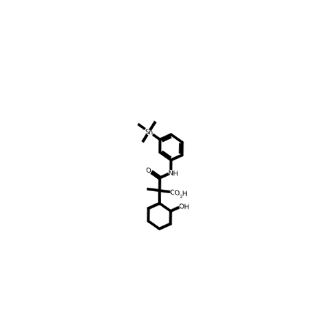 CC(C(=O)O)(C(=O)Nc1ccc[c]([Sn]([CH3])([CH3])[CH3])c1)C1CCCCC1O